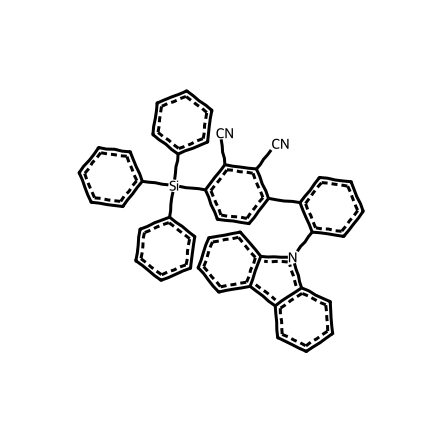 N#Cc1c(-c2ccccc2-n2c3ccccc3c3ccccc32)ccc([Si](c2ccccc2)(c2ccccc2)c2ccccc2)c1C#N